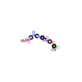 CC(C)(C)OC(=O)N1CCC(NC2CCN(c3ccc(C(=O)N[C@H]4CC[C@H](Oc5ccc(C#N)c(Cl)c5)CC4)cc3)CC2)CC1